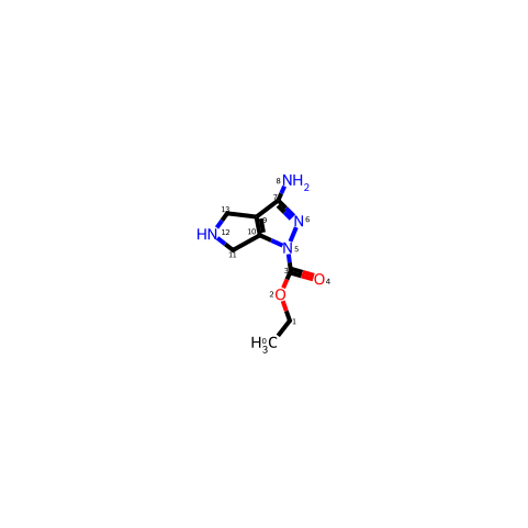 CCOC(=O)n1nc(N)c2c1CNC2